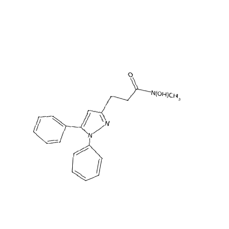 CN(O)C(=O)CCc1cc(-c2ccccc2)n(-c2ccccc2)n1